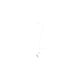 CC=C(C)C(=O)OC(O)CCCCCCCCCCO